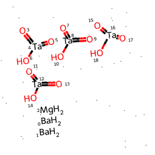 [BaH2].[BaH2].[MgH2].[O]=[Ta](=[O])[OH].[O]=[Ta](=[O])[OH].[O]=[Ta](=[O])[OH].[O]=[Ta](=[O])[OH]